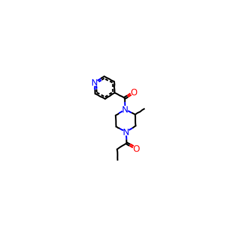 CCC(=O)N1CCN(C(=O)c2ccncc2)C(C)C1